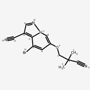 CC(C)(C#N)COc1cc(Br)c2c(C#N)cnn2c1